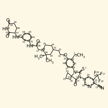 CCc1cc(N2C(=S)N(c3cnc(C#N)c(C(F)(F)F)c3)C(=O)C23CCC3)ccc1OCCC1CCN(CC(=O)Nc2cccc(NC3CCC(=O)NC3=O)c2)C(C)(C)C1